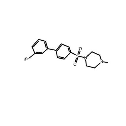 CC(C)c1cccc(-c2ccc(S(=O)(=O)N3CCN(C)CC3)cc2)c1